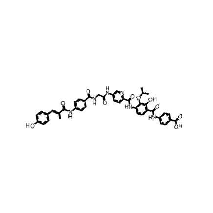 C/C(=C\c1ccc(O)cc1)C(=O)Nc1ccc(C(=O)NCC(=O)Nc2ccc(C(=O)Nc3ccc(C(=O)Nc4ccc(C(=O)O)cc4)c(O)c3OC(C)C)nc2)cc1